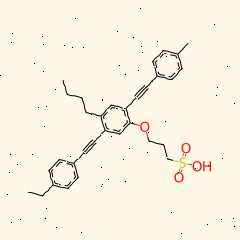 CCCCc1cc(C#Cc2ccc(C)cc2)c(OCCCS(=O)(=O)O)cc1C#Cc1ccc(CC)cc1